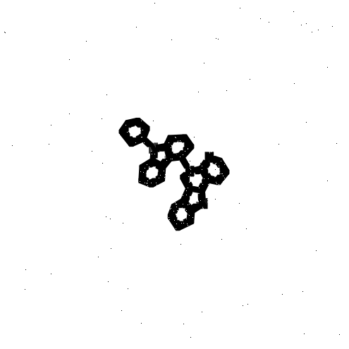 c1ccc(-n2c3ccccc3c3c(-n4cc5c6ccccc6nc-5c5cccnc54)cccc32)cc1